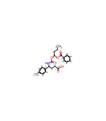 CCCC(OC(=O)NC(CCC(=O)O)c1ccc(Cl)cc1)OC(=O)c1ccccc1